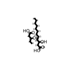 CCC(O)CC(=O)O.CCCCCCCCCC(O)CC(=O)O